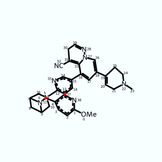 COc1ccc(CN2C3CC2CN(c2ccc(C4=CC(C5=CCN(C)CC5)=CN5N=CCC(C#N)=C45)cn2)C3)cn1